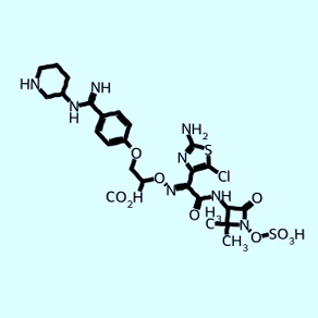 CC1(C)C(NC(=O)C(=NOC(COc2ccc(C(=N)NC3CCCNC3)cc2)C(=O)O)c2nc(N)sc2Cl)C(=O)N1OS(=O)(=O)O